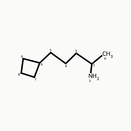 CC(N)CCCC1CCC1